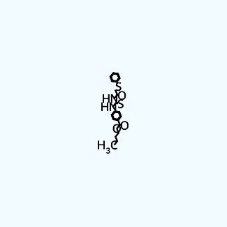 CCCCOC(=O)c1ccc(NC(=S)NC(=O)CSc2ccccc2)cc1